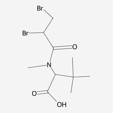 CN(C(=O)C(Br)CBr)C(C(=O)O)C(C)(C)C